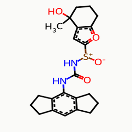 CC1(O)CCCc2oc([S+]([O-])NC(=O)Nc3c4c(cc5c3CCC5)CCC4)cc21